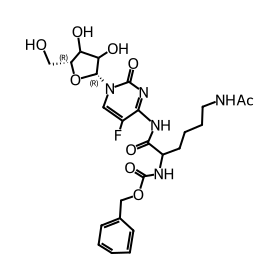 CC(=O)NCCCCC(NC(=O)OCc1ccccc1)C(=O)Nc1nc(=O)n([C@@H]2O[C@H](CO)C(O)C2O)cc1F